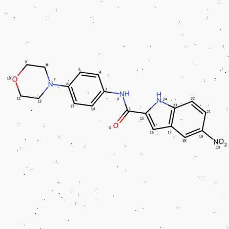 O=C(Nc1ccc(N2CCOCC2)cc1)c1cc2cc([N+](=O)[O-])ccc2[nH]1